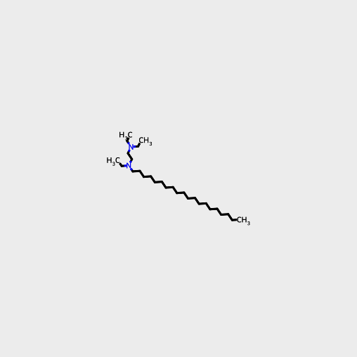 CCCCCCCCCCCCCCCCCCCCN(CC)CCN(CC)CC